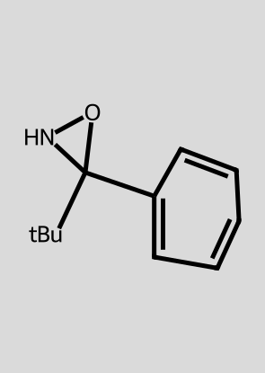 CC(C)(C)C1(c2ccccc2)NO1